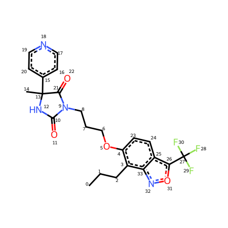 CCCc1c(OCCCN2C(=O)NC(C)(c3ccncc3)C2=O)ccc2c(C(F)(F)F)onc12